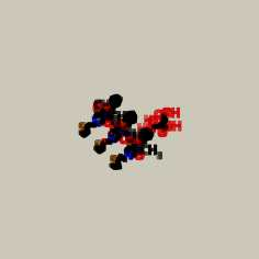 COC(=O)C1(N(OCc2ccccc2)C(C)=O)CCN(CCc2cccs2)CC1.COC(=O)C1(N(OCc2ccccc2)C(C)=O)CCN(CCc2cccs2)CC1.COC(=O)C1(N(OCc2ccccc2)C(C)=O)CCN(CCc2cccs2)CC1.O=C(O)CC(O)(CC(=O)O)C(=O)O